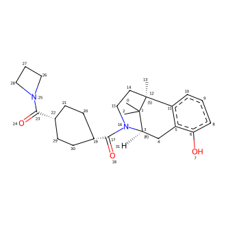 CC1(C)[C@H]2Cc3c(O)cccc3[C@]1(C)CCN2C(=O)[C@H]1CC[C@@H](C(=O)N2CCC2)CC1